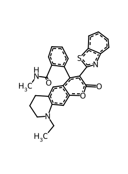 CCN1CCCc2cc3c(-c4ccccc4C(=O)NC)c(-c4nc5ccccc5s4)c(=O)oc3cc21